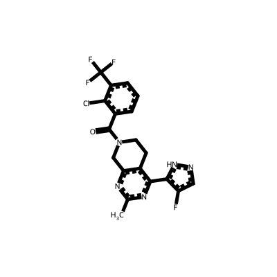 Cc1nc2c(c(-c3[nH]ncc3F)n1)CCN(C(=O)c1cccc(C(F)(F)F)c1Cl)C2